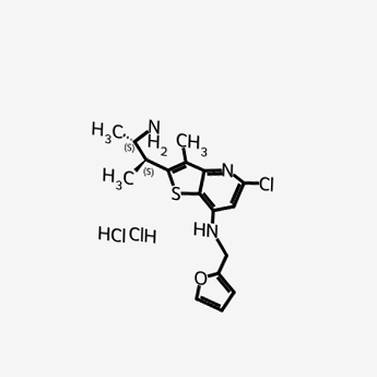 Cc1c([C@@H](C)[C@H](C)N)sc2c(NCc3ccco3)cc(Cl)nc12.Cl.Cl